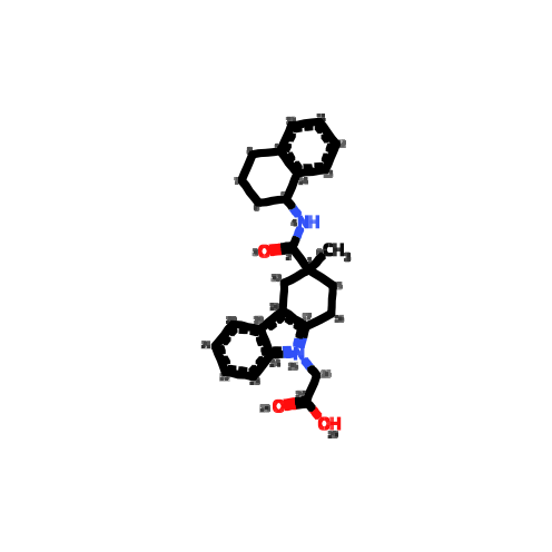 CC1(C(=O)NC2CCCc3ccccc32)CCc2c(c3ccccc3n2CC(=O)O)C1